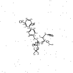 CCOC(=O)[C@H](CC#N)C[C@@H](Cc1ccc(-c2cc(Cl)ccc2F)cc1)NC(=O)OC(C)(C)C